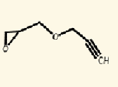 C#CCOCC1CO1